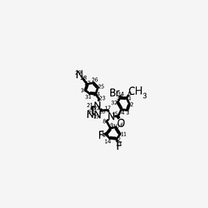 Cc1ccc(C(=O)N(Cc2ccc(F)cc2F)Cc2nncn2Cc2ccc(C#N)cc2)cc1Br